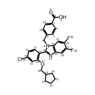 O=C(O)c1ccc(Cn2c(-c3ccc(Cl)cc3OCC3CCCC3)nc3cc(F)c(F)cc32)cc1